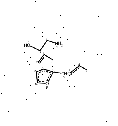 C=CC.C=CC.NCCO.O=Cc1ccco1